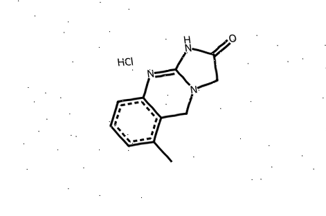 Cc1cccc2c1CN1CC(=O)NC1=N2.Cl